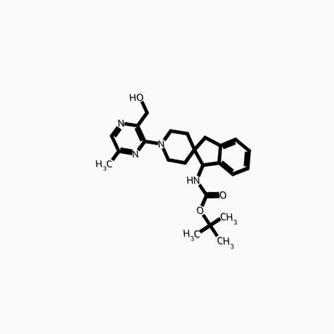 Cc1cnc(CO)c(N2CCC3(CC2)Cc2ccccc2C3NC(=O)OC(C)(C)C)n1